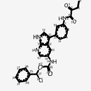 CCC(=O)C(=O)Nc1cccc(-c2c[nH]c3ncc(NC(=O)OC(Cl)c4ccccc4)cc23)c1